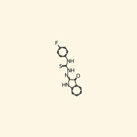 O=C1C(=NNC(=S)Nc2ccc(F)cc2)Nc2ccccc21